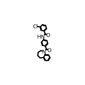 O=C(Nc1ccc(C(=O)N2CCCCc3ccccc32)cc1)c1cccc(Cl)c1